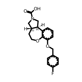 O=C(O)N1C[C@H]2CCOc3c(OCc4ccc(F)cc4)cccc3[C@@H]2C1